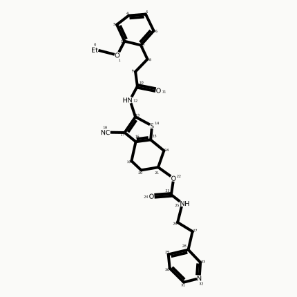 CCOc1ccccc1CCC(=O)Nc1sc2c(c1C#N)CCC(OC(=O)NCCc1cccnc1)C2